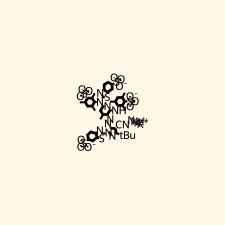 Cc1cc(N(c2nc3ccc(S(=O)(=O)[O-])cc3s2)c2c(C)cc(C)c(S(=O)(=O)[O-])c2C)nc(Nc2c(C)cc(C)c(S(=O)(=O)[O-])c2C)c1N=Nc1c(C#N)c(C(C)(C)C)nn1-c1nc2ccc(S(=O)(=O)[O-])cc2s1.[K+].[K+].[Na+].[Na+]